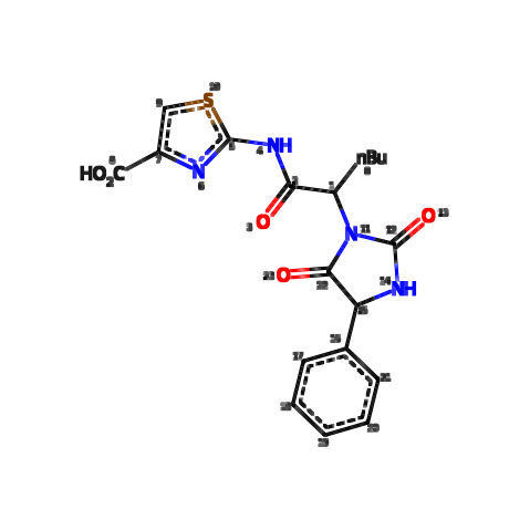 CCCCC(C(=O)Nc1nc(C(=O)O)cs1)N1C(=O)NC(c2ccccc2)C1=O